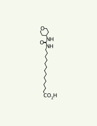 O=C(O)CCCCCCCCCCCCCNC(=O)NC1CCOCC1